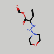 C=CC(NNN1CCOCC1)C(=O)O[C]=O